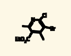 CCOC(=O)c1c(C)nc(Cl)c(Br)c1C